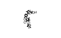 Cc1nc(COc2nc(C)n(-c3cc(-c4nc(C(C)(C)O)ncc4C)ccc3C)c(=O)c2Cl)cs1